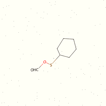 O=COSC1CCCCC1